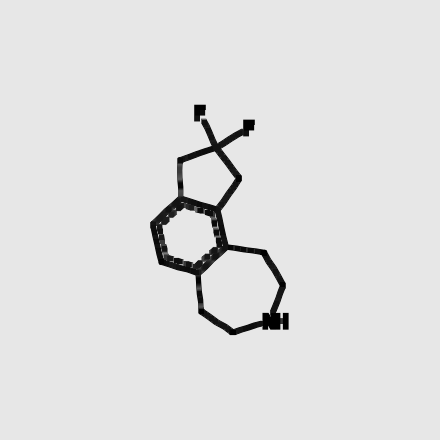 FC1(F)Cc2ccc3c(c2C1)CCNCC3